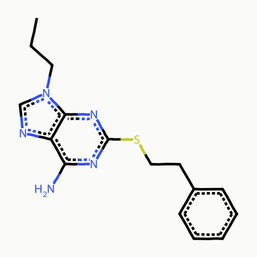 CCCn1cnc2c(N)nc(SCCc3ccccc3)nc21